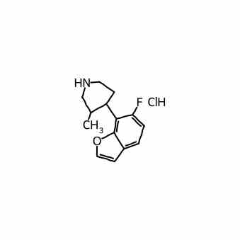 CC1CNCCC1c1c(F)ccc2ccoc12.Cl